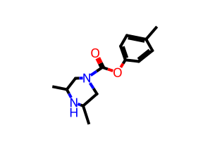 Cc1ccc(OC(=O)N2CC(C)NC(C)C2)cc1